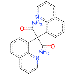 NC(=O)C(C(N)=O)(c1cccc2cccnc12)c1cccc2cccnc12